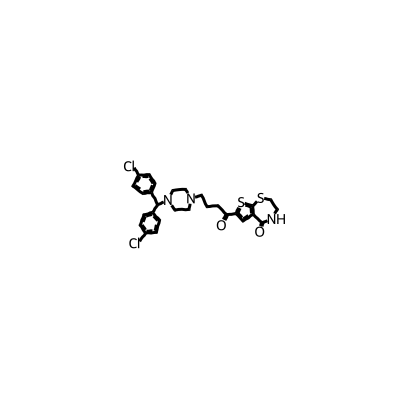 O=C(CCCN1CCN(C(c2ccc(Cl)cc2)c2ccc(Cl)cc2)CC1)c1cc2c(s1)SCCNC2=O